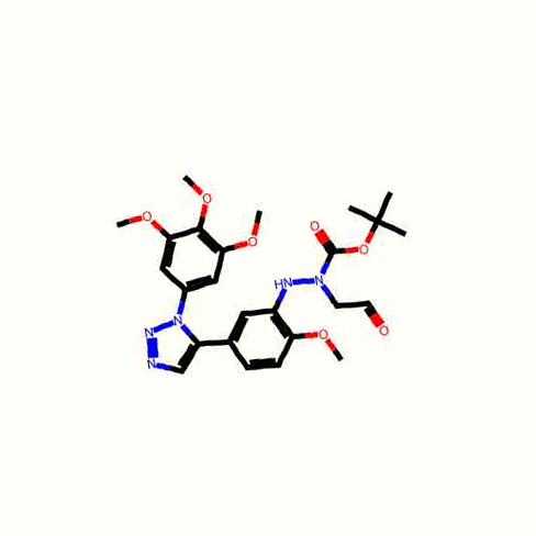 COc1ccc(-c2cnnn2-c2cc(OC)c(OC)c(OC)c2)cc1NN(CC=O)C(=O)OC(C)(C)C